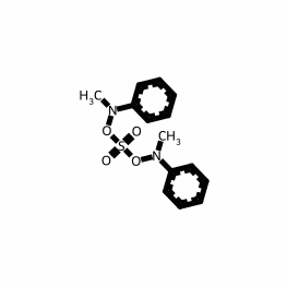 CN(OS(=O)(=O)ON(C)c1ccccc1)c1ccccc1